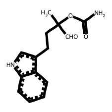 CC(C=O)(CCc1c[nH]c2ccccc12)OC(N)=O